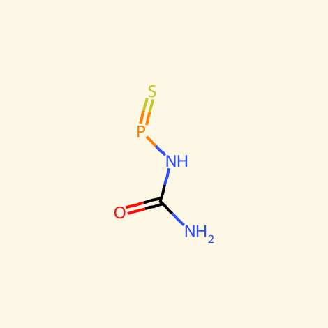 NC(=O)NP=S